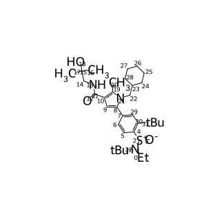 CCN([S+]([O-])c1ccc(-c2cc(C(=O)NCC(C)(C)O)c(C)n2CC2CCCCC2)cc1C(C)(C)C)C(C)(C)C